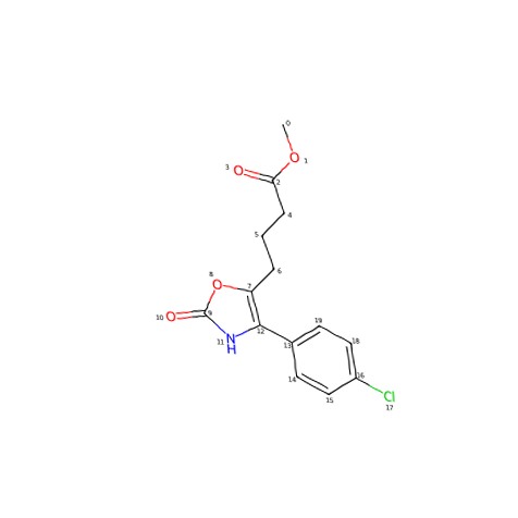 COC(=O)CCCc1oc(=O)[nH]c1-c1ccc(Cl)cc1